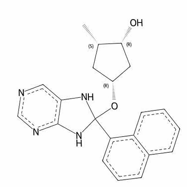 C[C@H]1C[C@@H](OC2(c3cccc4ccccc34)Nc3cncnc3N2)C[C@H]1O